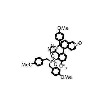 COc1ccc(CN(Cc2ccc(OC)cc2)S(=O)(=O)c2c(C(F)(F)F)ccc(-c3cccc4c[n+]([O-])ccc34)c2-c2nnnn2Cc2ccc(OC)cc2)cc1